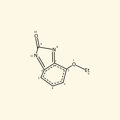 CCOc1cccc2c1=NC(=O)N=2